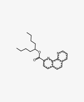 CCCCC(CCCC)OC(=O)c1ccc2ccc3cccnc3c2n1